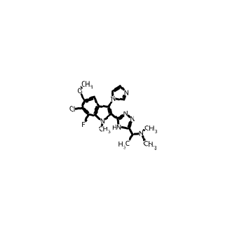 COc1cc2c(-n3ccnc3)c(-c3nnc(C(C)N(C)C)[nH]3)n(C)c2c(F)c1Cl